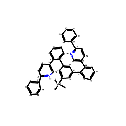 C[Si](C)(C)c1cc(-c2ccccc2-c2ccc(-c3ccccc3)nc2)cc(-c2ccccc2-c2ccc(-c3ccccc3)nc2)c1